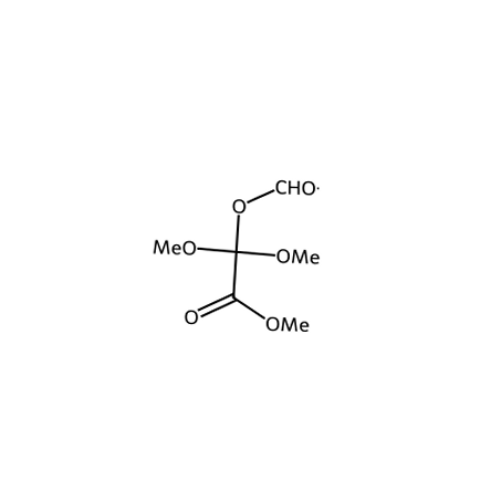 COC(=O)C(OC)(OC)O[C]=O